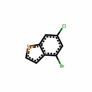 Clc1cc(Br)c2ccsc2c1